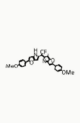 COC1=CCC(c2cc3c(o2)=C/C(=C(/c2cc4oc(-c5ccc(OC)cc5)cc4[nH]2)C(F)(F)F)N=3)C=C1